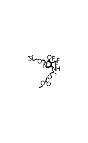 CCOC(=O)COC[C@H](C)Nc1cnn(COCC[Si](C)(C)C)c(=O)c1C(F)(F)F